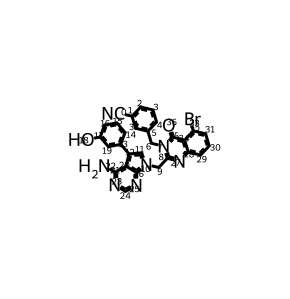 N#Cc1cccc(Cn2c(Cn3cc(-c4cccc(O)c4)c4c(N)ncnc43)nc3cccc(Br)c3c2=O)c1